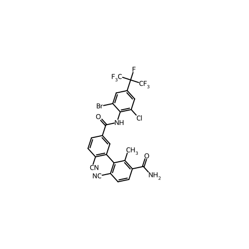 Cc1c(C(N)=O)ccc(C#N)c1-c1cc(C(=O)Nc2c(Cl)cc(C(F)(C(F)(F)F)C(F)(F)F)cc2Br)ccc1C#N